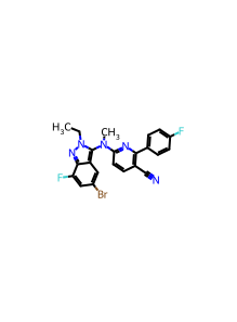 CCn1nc2c(F)cc(Br)cc2c1N(C)c1ccc(C#N)c(-c2ccc(F)cc2)n1